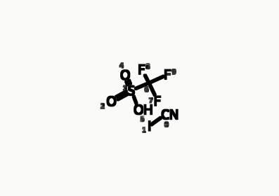 N#CI.O=S(=O)(O)C(F)(F)F